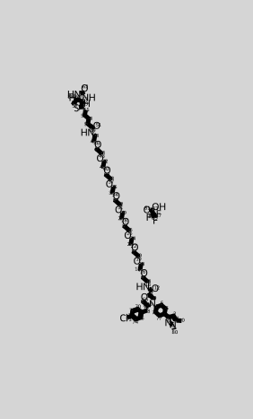 Cc1cc(C2CCC(N3C[C@H](C(=O)NCCOCCOCCOCCOCCOCCOCCOCCOCCOCCOCCOCCNC(=O)CCCC[C@@H]4SC[C@@H]5NC(=O)N[C@@H]54)OC[C@@H]3Cc3ccc(Cl)cc3)CC2)nn1C.O=C(O)C(F)(F)F